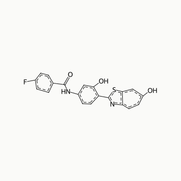 O=C(Nc1ccc(-c2nc3ccc(O)cc3s2)c(O)c1)c1ccc(F)cc1